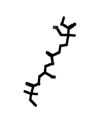 CCC(C)(C)C(=O)OCC(O)COC(=O)CSCC(C)(CO)C(=O)OC